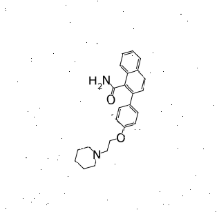 NC(=O)c1c(-c2ccc(OCCN3CCCCC3)cc2)ccc2ccccc12